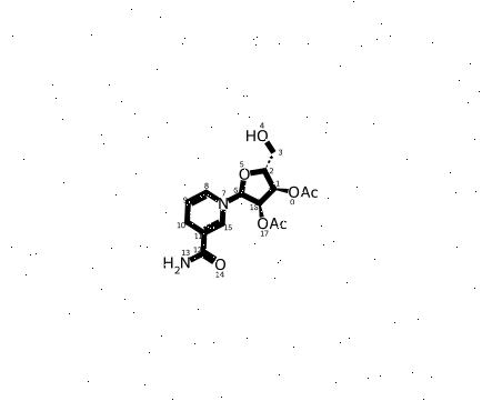 CC(=O)O[C@@H]1[C@@H](CO)OC(N2C=CCC(C(N)=O)=C2)[C@@H]1OC(C)=O